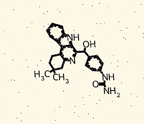 CC1(C)CCc2c(nc(C(O)c3ccc(NC(N)=O)cc3)c3[nH]c4ccccc4c23)C1